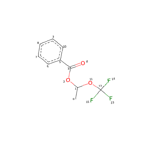 CC(OC(=O)c1ccccc1)OC(F)(F)F